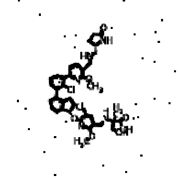 COc1nc(-c2cccc(-c3cccc4c3CC[C@@H]4Oc3nc(OC)c(CNC(C)(CO)C(=O)O)cc3Cl)c2Cl)ccc1CNC[C@@H]1CCC(=O)N1